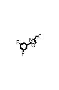 Fc1cc(F)cc(-c2nc(CCl)co2)c1